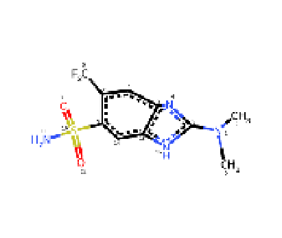 CN(C)c1nc2cc(C(F)(F)F)c(S(N)(=O)=O)cc2[nH]1